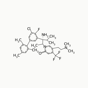 Cc1cc(C)c(-c2cc(Cl)c(F)c([C@@](N)(C(C)C)C(C)n3cc(CCN(C)C)c(C(F)(F)F)cc3=O)c2)c(C)c1